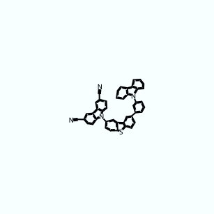 N#Cc1ccc2c(c1)c1cc(C#N)ccc1n2-c1ccc2sc3ccc(-c4cccc(-n5c6ccccc6c6ccccc65)c4)cc3c2c1